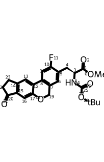 COC(=O)[C@H](Cc1cc2c(cc1F)-c1cc3c(cc1OC2)C(=O)CC3)NC(=O)OC(C)(C)C